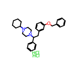 Cl.Cl.c1ccc(COc2cccc(CC(c3ccccc3)N3CCN(C4CCCCC4)CC3)c2)cc1